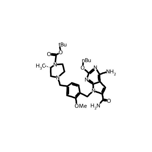 CCCCOc1nc(N)c2cc(C(N)=O)n(Cc3ccc(CN4CCN(C(=O)OC(C)(C)C)[C@@H](C)C4)cc3OC)c2n1